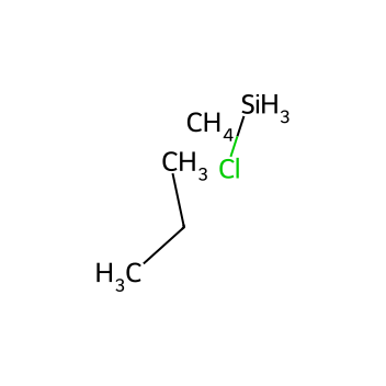 C.CCC.[SiH3]Cl